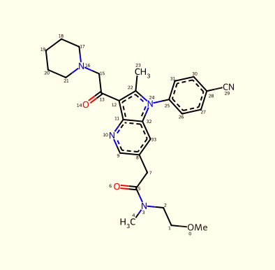 COCCN(C)C(=O)Cc1cnc2c(C(=O)CN3CCCCC3)c(C)n(-c3ccc(C#N)cc3)c2c1